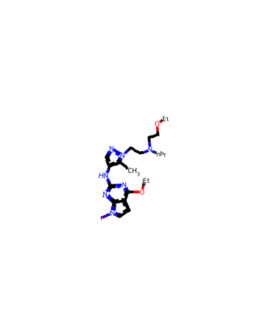 CCCN(CCOCC)CCn1ncc(Nc2nc(OCC)c3ccn(I)c3n2)c1C